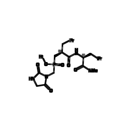 CCOP(=O)(C[C@@H](CC(C)C)C(=O)N[C@@H](CC(C)C)C(=O)NC)CN1C(=O)CNC1=O